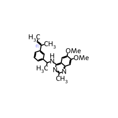 C/C=C(\C)c1cccc(C(C)Nc2nc(C)nc3cc(OC)c(OC)cc23)c1